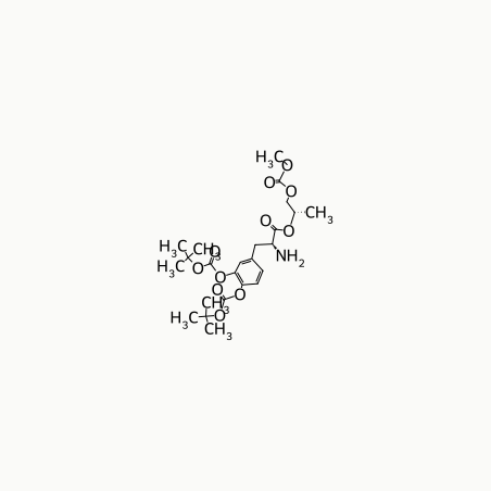 COC(=O)OC[C@H](C)OC(=O)[C@@H](N)Cc1ccc(OC(=O)OC(C)(C)C)c(OC(=O)OC(C)(C)C)c1